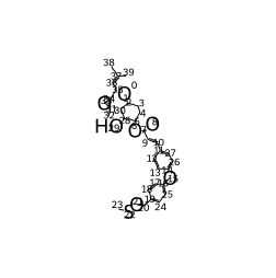 CO[C@@H]1CC[C@@H](OC(=O)/C=C/c2ccc(Oc3ccc(COSC)cc3)cc2)[C@@H](O)[C@@H]1C1(C)OC1CC=C(C)C